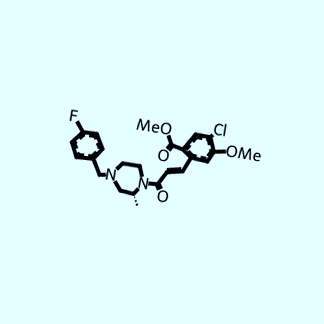 COC(=O)c1cc(Cl)c(OC)cc1C=CC(=O)N1CCN(Cc2ccc(F)cc2)C[C@H]1C